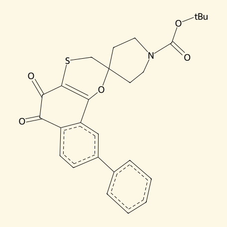 CC(C)(C)OC(=O)N1CCC2(CC1)CSC1=C(O2)c2cc(-c3ccccc3)ccc2C(=O)C1=O